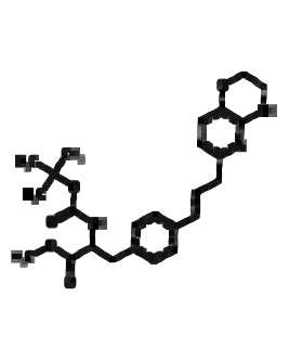 COC(=O)C(Cc1ccc(/C=C/Cc2ccc3c(n2)NCCO3)cc1)NC(=O)OC(C)(C)C